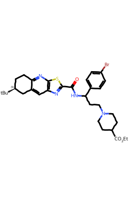 CCOC(=O)C1CCN(CCC(NC(=O)c2nc3cc4c(nc3s2)CC[C@H](C(C)(C)C)C4)c2ccc(Br)cc2)CC1